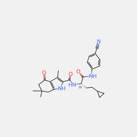 Cc1c(C(=O)N[C@@H](CCC2CC2)C(=O)Nc2ccc(C#N)cc2)[nH]c2c1C(=O)CC(C)(C)C2